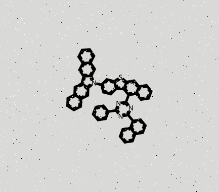 c1ccc(-c2nc(-c3cccc4ccccc34)nc(-c3c4ccccc4cc4sc5cc(-n6c7cc8ccccc8cc7c7cc8ccccc8cc76)ccc5c34)n2)cc1